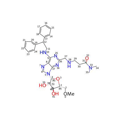 COC[C@H]1O[C@@H](n2cnc3c(NCC(c4ccccc4)c4ccccc4)nc(CNCCC(=O)N(C)C)nc32)[C@@H](O)[C@@H]1O